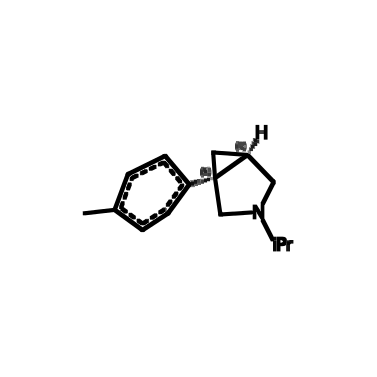 Cc1ccc([C@]23C[C@H]2CN(C(C)C)C3)cc1